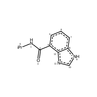 CC(C)NC(=O)c1cccc2[nH]cnc12